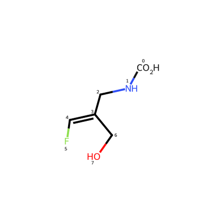 O=C(O)NCC(=CF)CO